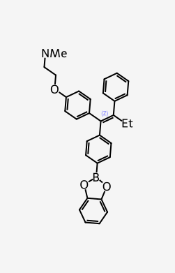 CC/C(=C(/c1ccc(OCCNC)cc1)c1ccc(B2Oc3ccccc3O2)cc1)c1ccccc1